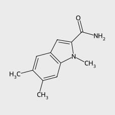 Cc1cc2cc(C(N)=O)n(C)c2cc1C